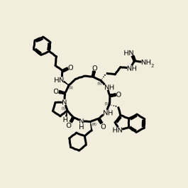 N=C(N)NCCC[C@@H]1NC(=O)[C@H](Cc2c[nH]c3ccccc23)NC(=O)[C@@H](CC2CCCCC2)NC(=O)[C@@H]2CCCN2C(=O)[C@@H](NC(=O)CCc2ccccc2)CCC1=O